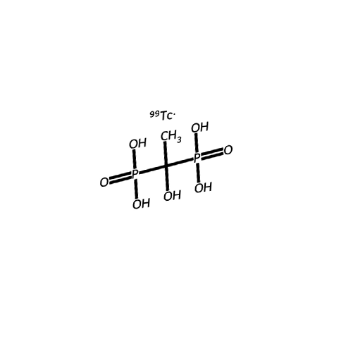 CC(O)(P(=O)(O)O)P(=O)(O)O.[99Tc]